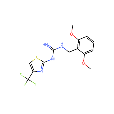 COc1cccc(OC)c1CNC(=N)Nc1nc(C(F)(F)F)cs1